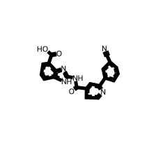 N#Cc1cccc(-c2cc(C(=O)Nc3nc4c(C(=O)O)cccc4[nH]3)ccn2)c1